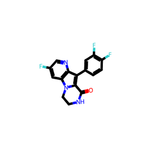 O=C1NCCn2c1c(-c1ccc(F)c(F)c1)c1ncc(F)cc12